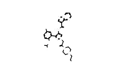 O=C(Nc1cn(CC(=O)N2CCN(CCO)CC2)nc1-c1cc(Cl)ccc1OC(F)F)c1cnn2cccnc12